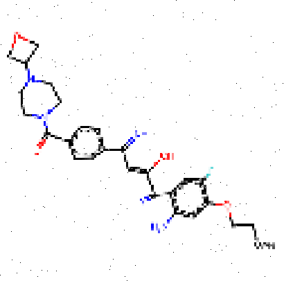 COCCOc1cc(N)c(C(=N)/C(O)=C/C(=N)c2ccc(C(=O)N3CCN(C4COC4)CC3)cc2)cc1F